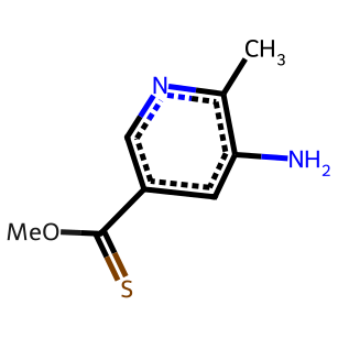 COC(=S)c1cnc(C)c(N)c1